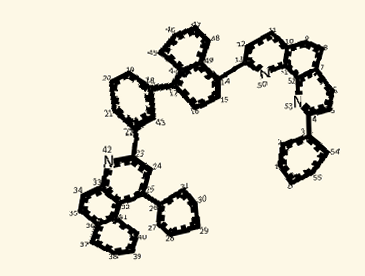 c1ccc(-c2ccc3ccc4ccc(-c5ccc(-c6cccc(-c7cc(-c8ccccc8)c8c(ccc9ccccc98)n7)c6)c6ccccc56)nc4c3n2)cc1